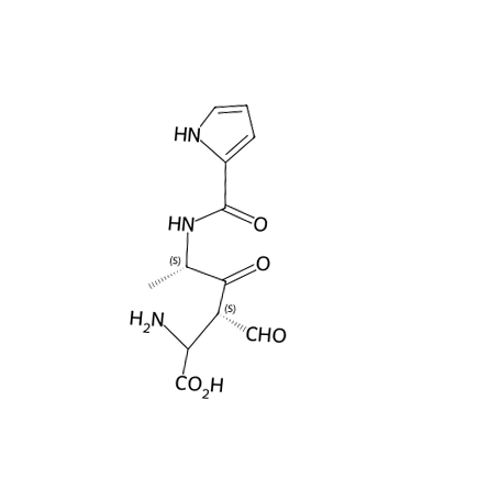 C[C@H](NC(=O)c1ccc[nH]1)C(=O)[C@H](C=O)C(N)C(=O)O